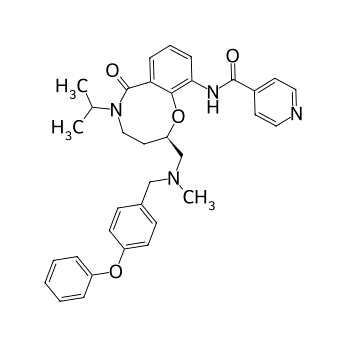 CC(C)N1CC[C@H](CN(C)Cc2ccc(Oc3ccccc3)cc2)Oc2c(NC(=O)c3ccncc3)cccc2C1=O